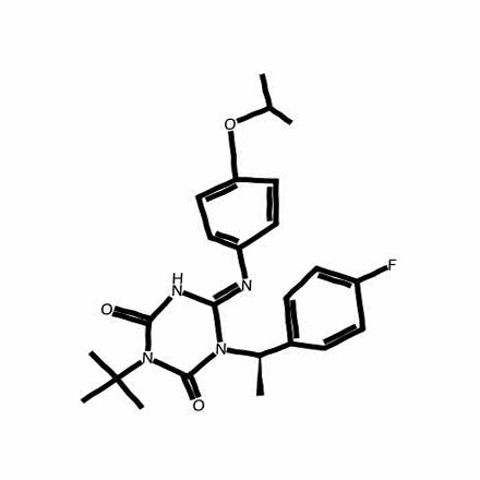 CC(C)Oc1ccc(/N=c2\[nH]c(=O)n(C(C)(C)C)c(=O)n2[C@H](C)c2ccc(F)cc2)cc1